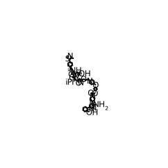 Cc1ncsc1-c1ccc([C@H](C)NC(=O)[C@@H]2C[C@@H](O)CN2C(=O)[C@@H](c2cc(OCCN3CCC(O[C@H]4C[C@H](OC(=O)N5CCN(c6cc(-c7ccccc7O)nnc6N)CC5)C4)CC3)no2)C(C)C)cc1